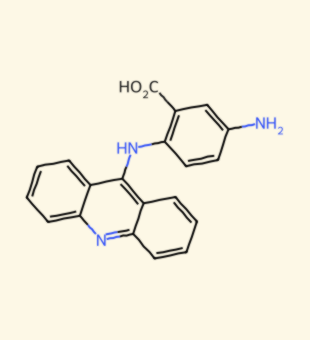 Nc1ccc(Nc2c3ccccc3nc3ccccc23)c(C(=O)O)c1